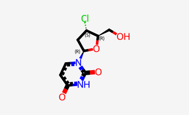 O=c1ccn([C@H]2C[C@H](Cl)[C@@H](CO)O2)c(=O)[nH]1